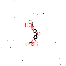 O=C(c1ccc(OCC(O)CCl)cc1)c1ccc(OCC(O)CCl)cc1